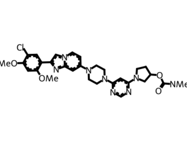 CNC(=O)OC1CCN(c2cc(N3CCN(c4ccn5cc(-c6cc(Cl)c(OC)cc6OC)nc5c4)CC3)ncn2)C1